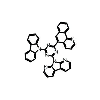 c1ccc2c(c1)cc(-c1nc(-n3c4ccccc4c4ccccc43)nc(-n3c4ncccc4c4cccnc43)n1)c1cccnc12